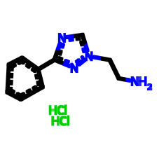 Cl.Cl.NCCn1cnc(-c2ccccc2)n1